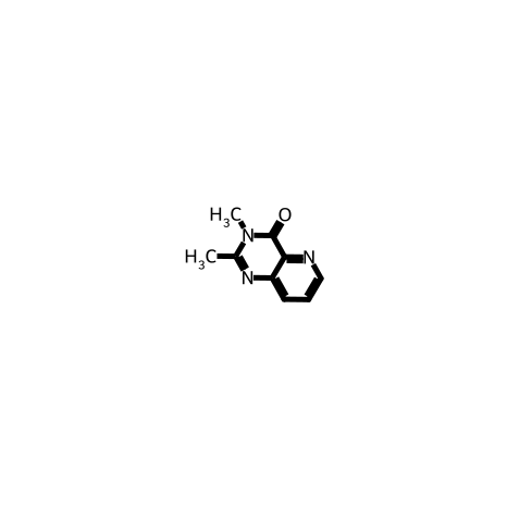 Cc1nc2cccnc2c(=O)n1C